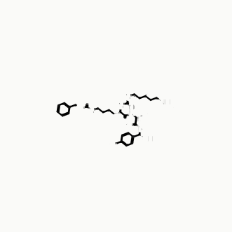 CC(C)[C@H](NC(=O)[C@@H](CCCCNC(=O)OCc1ccccc1)NC(=O)N[C@@H](CCCCN)C(=O)O)C(=O)N[C@@H](C)c1ccc(Cl)cc1